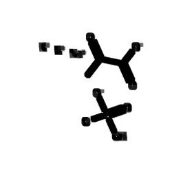 CC(=O)C(=O)[O-].O=P([O-])([O-])O.[K+].[K+].[Na+]